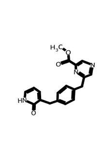 COC(=O)c1cncc(Cc2ccc(Cc3ccc[nH]c3=O)cc2)n1